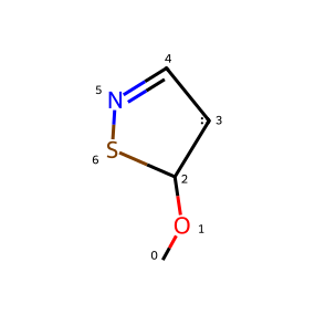 COC1[C]C=NS1